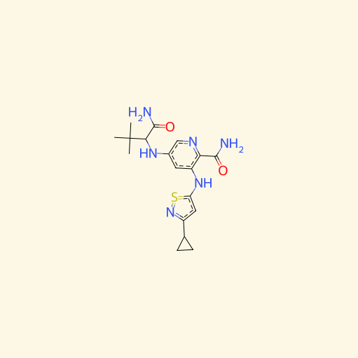 CC(C)(C)C(Nc1cnc(C(N)=O)c(Nc2cc(C3CC3)ns2)c1)C(N)=O